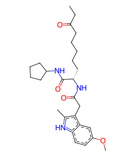 CCC(=O)CCCCC[C@H](NC(=O)Cc1c(C)[nH]c2ccc(OC)cc12)C(=O)NC1CCCC1